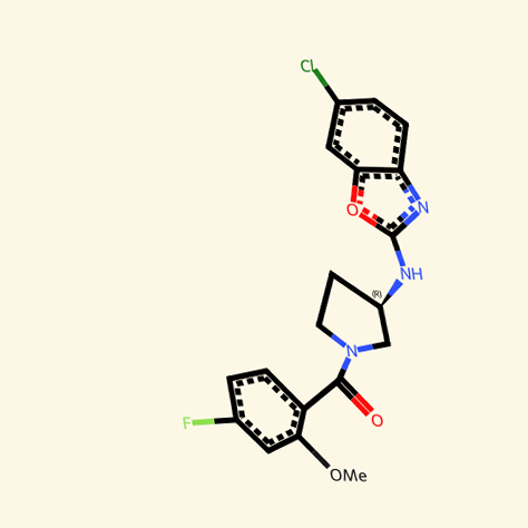 COc1cc(F)ccc1C(=O)N1CC[C@@H](Nc2nc3ccc(Cl)cc3o2)C1